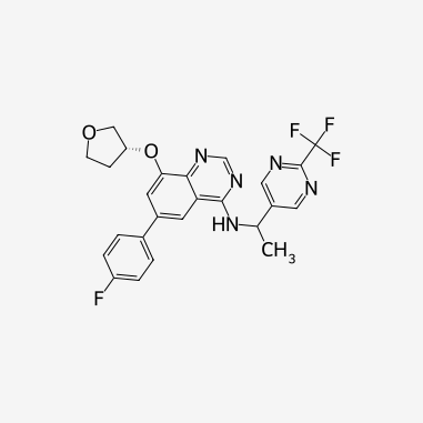 CC(Nc1ncnc2c(O[C@@H]3CCOC3)cc(-c3ccc(F)cc3)cc12)c1cnc(C(F)(F)F)nc1